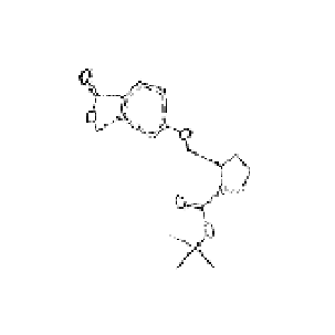 CC(C)(C)OC(=O)N1CCCC1COc1ccc2c(c1)COC2=O